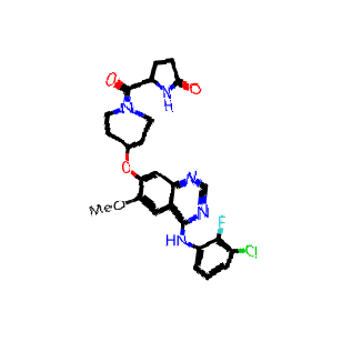 COc1cc2c(Nc3cccc(Cl)c3F)ncnc2cc1OC1CCN(C(=O)C2CCC(=O)N2)CC1